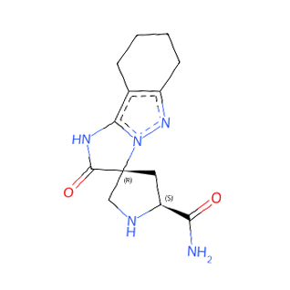 NC(=O)[C@@H]1C[C@@]2(CN1)C(=O)Nc1c3c(nn12)CCCC3